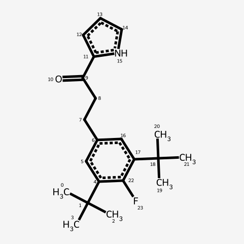 CC(C)(C)c1cc(CCC(=O)c2ccc[nH]2)cc(C(C)(C)C)c1F